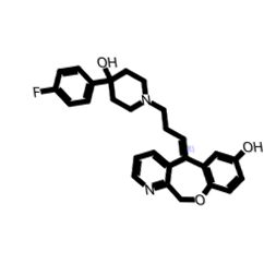 Oc1ccc2c(c1)/C(=C/CCN1CCC(O)(c3ccc(F)cc3)CC1)c1cccnc1CO2